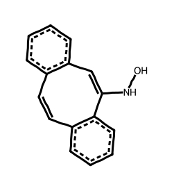 ONC1=Cc2ccccc2/C=C\c2ccccc21